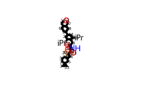 CC(C)c1cc(-c2ccc3c(c2)COCC3)cc(C(C)C)c1CC(=O)NS(=O)(=O)c1cc2c(s1)CCC1(CC1)C2